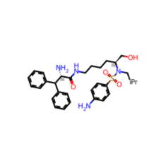 CC(C)CN([C@H](CO)CCCCNC(=O)[C@@H](N)C(c1ccccc1)c1ccccc1)S(=O)(=O)c1ccc(N)cc1